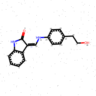 O=C1Nc2ccccc2/C1=C/Nc1ccc(CCO)cc1